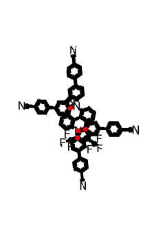 N#Cc1ccc(-c2ccc3c(c2)c2cc(-c4ccc(C#N)cc4)ccc2n3-c2cccc(C#N)c2-c2c(-c3cc(C(F)(F)F)cc(C(F)(F)F)c3)cccc2-n2c3ccc(-c4ccc(C#N)cc4)cc3c3cc(-c4ccc(C#N)cc4)ccc32)cc1